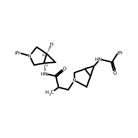 CC(C)C(=O)NC1C2CN(CC(C)C(=O)N[C@@]34C[C@@H]3CN(C(C)C)C4)CC21